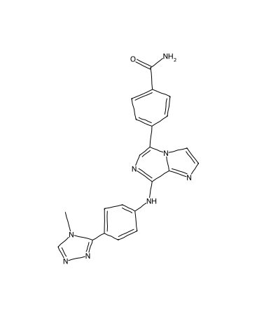 Cn1cnnc1-c1ccc(Nc2ncc(-c3ccc(C(N)=O)cc3)n3ccnc23)cc1